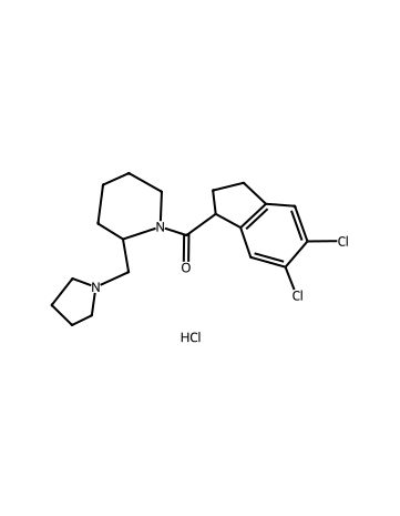 Cl.O=C(C1CCc2cc(Cl)c(Cl)cc21)N1CCCCC1CN1CCCC1